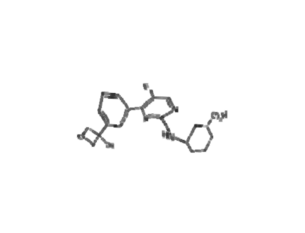 O=C(O)C1CCCC(Nc2ncc(F)c(-c3cccc(C4(O)COC4)c3)n2)C1